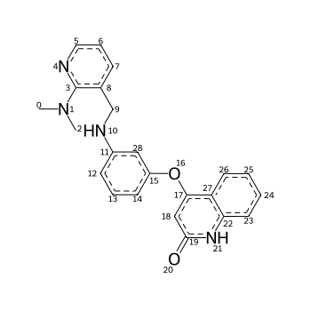 CN(C)c1ncccc1CNc1cccc(Oc2cc(=O)[nH]c3ccccc23)c1